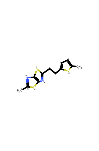 Cc1ccc(CCc2nc3sc(C)nc3s2)s1